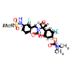 CNS(=O)(=O)Nc1cccc(CN2C(=O)Oc3cc(OC(=O)N(C)C)c(F)cc3C23COC3)c1F